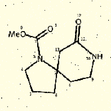 COC(=O)N1CCCC12CCNC(=O)C2